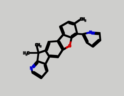 Cc1ccc2c(oc3cc4c(cc32)C(C)(C)c2ncccc2-4)c1-c1ccccn1